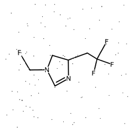 FCN1[C]=NC(CC(F)(F)F)[CH]1